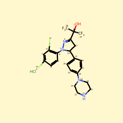 Cl.OC(C1=NN(c2ccc(F)cc2F)C(c2ccc(N3CCNCC3)cc2)C1)(C(F)(F)F)C(F)(F)F